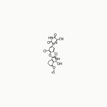 N#Cc1nn(-c2cc(Cl)c(OC3=NNC(O)C4=C3CCC[C@@H]4OC3CC3)c(Cl)c2)c(=O)[nH]c1=O